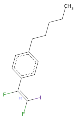 CCCCCc1ccc(/C(F)=C(/F)I)cc1